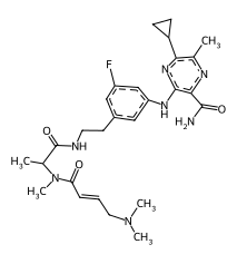 Cc1nc(C(N)=O)c(Nc2cc(F)cc(CCNC(=O)C(C)N(C)C(=O)C=CCN(C)C)c2)nc1C1CC1